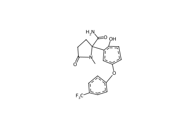 CN1C(=O)CCC1(C(N)=O)c1cc(Oc2ccc(C(F)(F)F)cc2)ccc1O